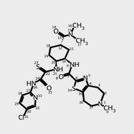 CN1CCc2nc(C(=O)N[C@@H]3C[C@@H](C(=O)N(C)C)CC[C@@H]3NC(=S)C(=O)Nc3ccc(Cl)cn3)sc2CC1